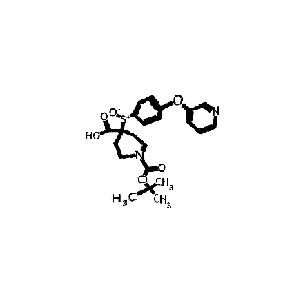 CC(C)(C)OC(=O)N1CCC(C(=O)O)([S+]([O-])c2ccc(Oc3cccnc3)cc2)CC1